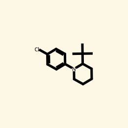 CC(C)(C)C1CCCCN1c1ccc(Cl)cc1